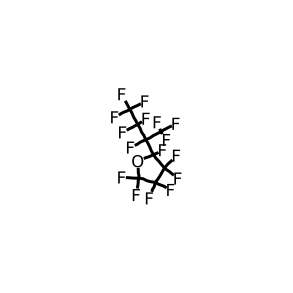 FC(F)(F)C(F)(F)C(F)(C(F)(F)F)C1(F)OC(F)(F)C(F)(F)C1(F)F